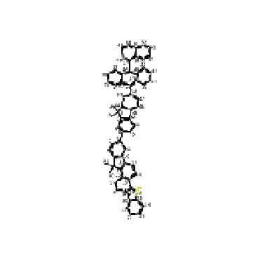 CC1(C)c2cc(-c3ccc4c(c3)-c3ccc5c(ccc6c7ccccc7sc56)c3C4(C)C)ccc2-c2ccc(-c3c4ccccc4c(-c4cccc5ccccc45)c4ccccc34)cc21